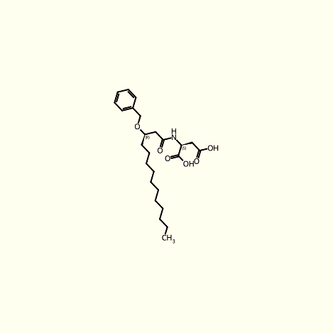 CCCCCCCCCCC[C@H](CC(=O)N[C@@H](CC(=O)O)C(=O)O)OCc1ccccc1